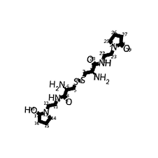 N[C@@H](CSSC[C@H](N)C(=O)NCCN1CCCC1O)C(=O)NCCN1CCCC1=O